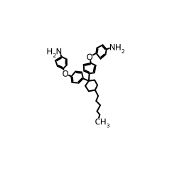 CCCCCCC1CCC(c2ccc(Oc3ccc(N)cc3)cc2)(c2ccc(Oc3ccc(N)cc3)cc2)CC1